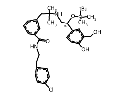 CC(C)(Cc1cccc(C(=O)NCCc2ccc(Cl)cc2)c1)NC[C@@H](O[Si](C)(C)C(C)(C)C)c1ccc(O)c(CO)c1